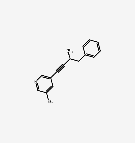 CC(C)(C)c1cncc(C#C[C@@H](N)Cc2ccccc2)c1